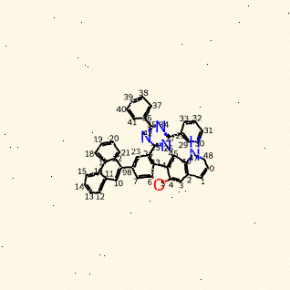 C1=Cc2cc3oc4cc(-c5cc6ccccc6c6ccccc56)cc(-c5nc(-c6ccccc6)nc(-c6ccccc6)n5)c4c3cc2NC1